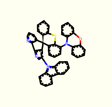 c1ccc2c(c1)Oc1ccccc1N2c1cccc2c1Sc1ccccc1[C@@]21c2cccnc2-c2ncc(-n3c4ccccc4c4ccccc43)cc21